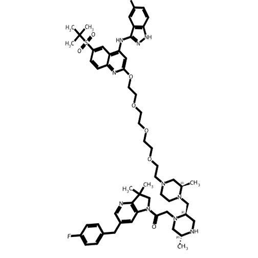 C[C@@H]1CN(CC(=O)N2CC(C)(C)c3ncc(Cc4ccc(F)cc4)cc32)[C@@H](CN2CCN(CCOCCOCCOCCOc3cc(Nc4n[nH]c5ccc(F)cc45)c4cc(S(=O)(=O)C(C)(C)C)ccc4n3)C[C@H]2C)CN1